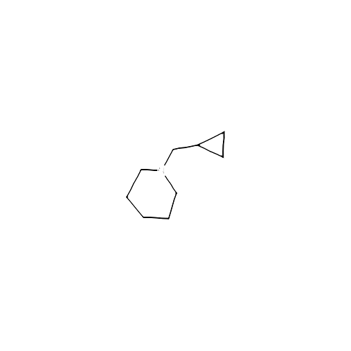 [CH]1CCCCN1CC1CC1